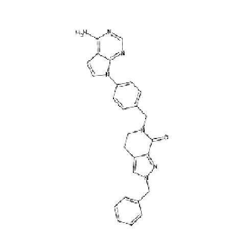 Nc1ncnc2c1ccn2-c1ccc(CN2CCc3cn(Cc4ccccc4)nc3C2=O)cc1